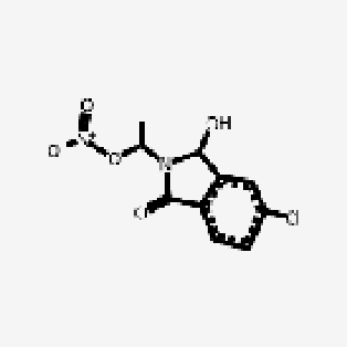 CC(O[N+](=O)[O-])N1C(=O)c2ccc(Cl)cc2C1O